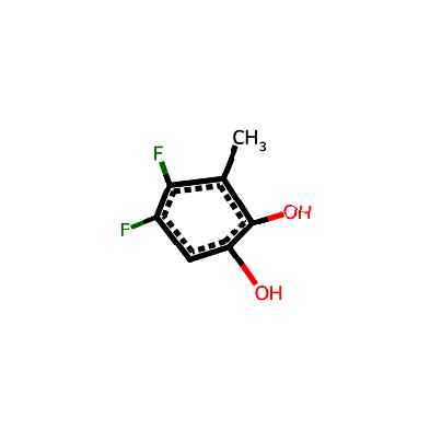 Cc1c(O)c(O)cc(F)c1F